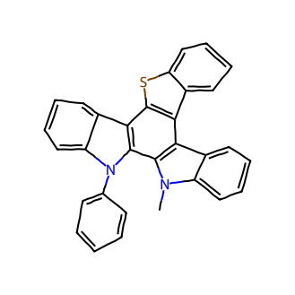 Cn1c2ccccc2c2c3c4ccccc4sc3c3c4ccccc4n(-c4ccccc4)c3c21